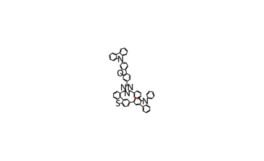 c1ccc(-c2nc(-c3ccc4c(c3)oc3cc(-n5c6ccccc6c6ccccc65)ccc34)nc(-c3cccc4sc5ccc(-c6ccc7c(c6)c6ccccc6n7-c6ccccc6)cc5c34)n2)cc1